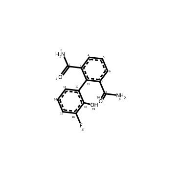 NC(=O)c1cccc(C(N)=O)c1-c1cccc(F)c1O